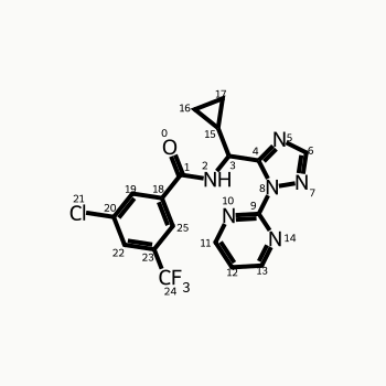 O=C(NC(c1ncnn1-c1ncccn1)C1CC1)c1cc(Cl)cc(C(F)(F)F)c1